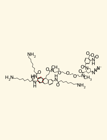 CN(CCOCCOCCOCCN(C)C(=O)[C@@H]1C[C@H](N=[N+]=[N-])CN1C(=O)c1ccc2c(=O)oc(=O)[nH]c2c1)C(=O)CCC12c3ccc(NC(=O)CCCCCCCN)cc3C(c3ccc(NC(=O)CCCCCCCN)cc31)c1ccc(NC(=O)CCCCCCCN)cc12